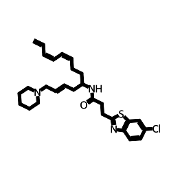 C=C/C=C\C=C/CCC(C/C=C/CN1CCCCC1)NC(=O)CCc1nc2ccc(Cl)cc2s1